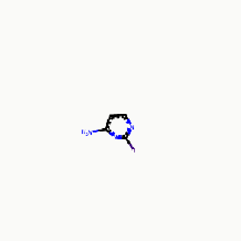 Nc1ccnc(I)n1